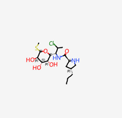 CCC[C@H]1CN[C@H](C(=O)NC(C(C)Cl)[C@H]2O[C@H](SC)[C@H](O)[C@@H](O)[C@H]2O)C1